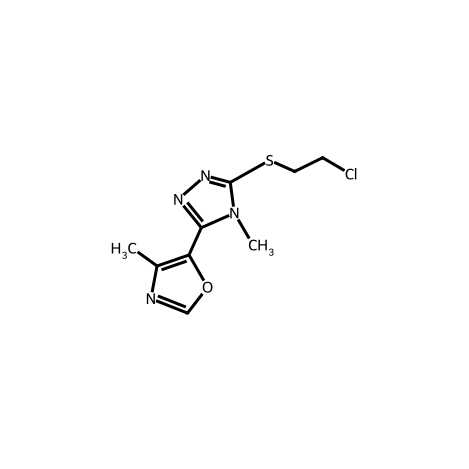 Cc1ncoc1-c1nnc(SCCCl)n1C